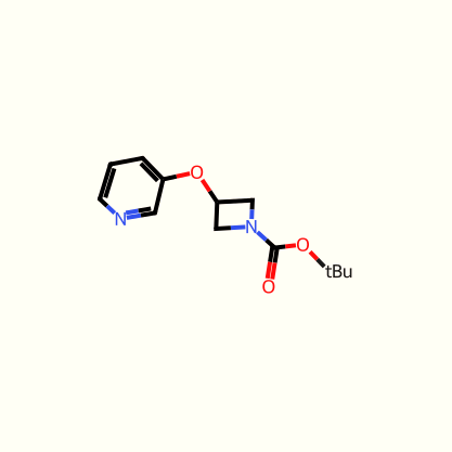 CC(C)(C)OC(=O)N1CC(Oc2cccnc2)C1